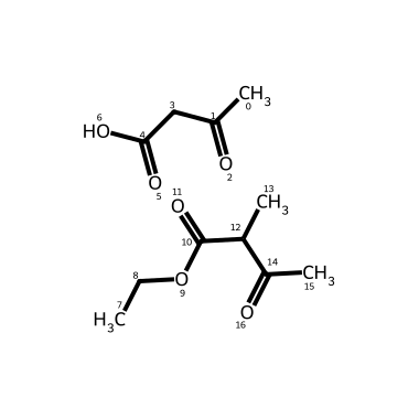 CC(=O)CC(=O)O.CCOC(=O)C(C)C(C)=O